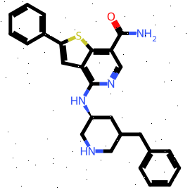 NC(=O)c1cnc(N[C@@H]2CNCC(Cc3ccccc3)C2)c2cc(-c3ccccc3)sc12